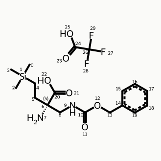 C[Si](C)(C)CC[C@](N)(CNC(=O)OCc1ccccc1)C(=O)O.O=C(O)C(F)(F)F